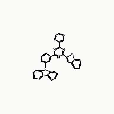 c1ccc(-c2nc(-c3cccc(-n4c5ccccc5c5ccccc54)c3)nc(-c3cc4ccccc4s3)n2)cc1